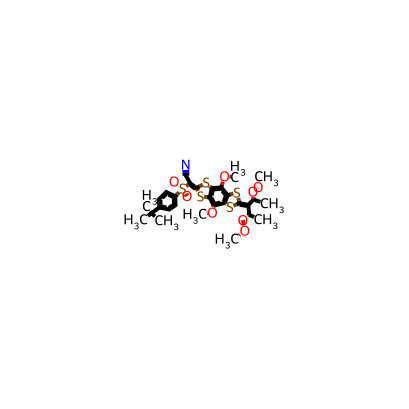 COOC(C)C(=C1Sc2c(OC)c3c(c(OC)c2S1)SC(=C(C#N)S(=O)(=O)c1ccc(C(C)(C)C)cc1)S3)C(C)OOC